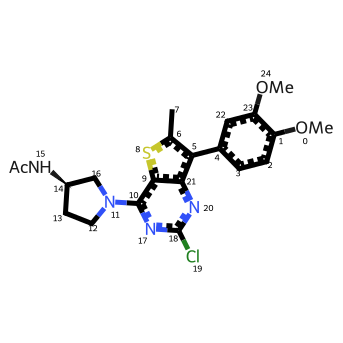 COc1ccc(-c2c(C)sc3c(N4CC[C@@H](NC(C)=O)C4)nc(Cl)nc23)cc1OC